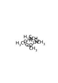 CC(COCC(C)OCCCN(C)C)OCCCN(C)C